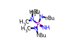 CCCCN(C)P(=N)(N(C)CCCC)N(C)CCCC